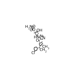 C=C(c1cccc(Cl)c1)c1cc(C(=O)c2cncnc2N[C@@H]2C[C@H](COS(N)(=O)=O)[C@@H](O)C2)sc1C